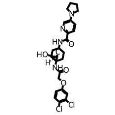 O=C(COc1ccc(Cl)c(Cl)c1)NC12CCC(NC(=O)c3ccc(N4CCCC4)cn3)(CC1)C[C@@H]2O